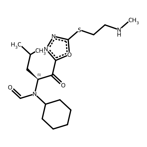 CNCCSc1nnc(C(=O)[C@H](CC(C)C)N(C=O)C2CCCCC2)o1